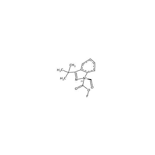 CC(C)(C)C1=N[N@@+](C=O)(C(=O)OF)c2ccccc21